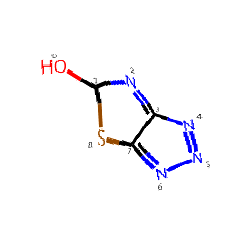 OC1N=C2N=NN=C2S1